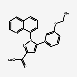 COC(=O)c1cc(-c2cccc(OCC(C)(C)C)c2)n(-c2cccc3cccnc23)n1